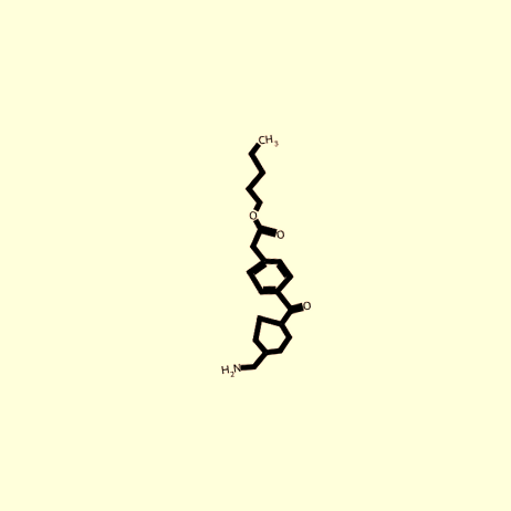 CCCCCOC(=O)Cc1ccc(C(=O)C2CCC(CN)CC2)cc1